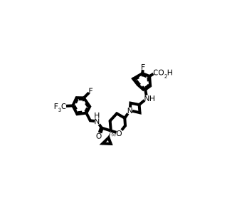 O=C(O)c1cc(NC2CN(C3CC[C@@](C(=O)NCc4cc(F)cc(C(F)(F)F)c4)(C4CC4)OC3)C2)ccc1F